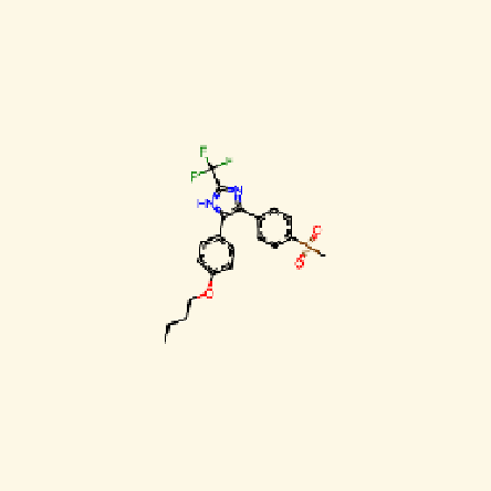 CCCCOc1ccc(-c2[nH]c(C(F)(F)F)nc2-c2ccc(S(C)(=O)=O)cc2)cc1